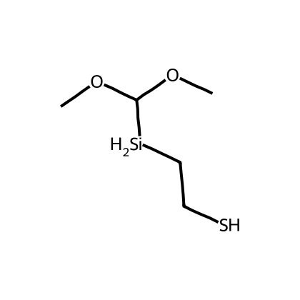 COC(OC)[SiH2]CCS